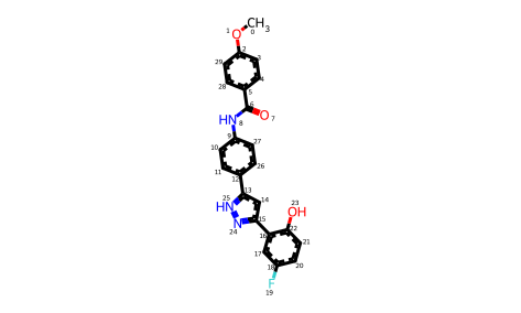 COc1ccc(C(=O)Nc2ccc(-c3cc(-c4cc(F)ccc4O)n[nH]3)cc2)cc1